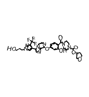 O=C(O[C@@H]1CCOC1)N1CCN(C(=O)c2ccc(Oc3nccn4c(-c5cn(CCCO)nc5C(F)(F)F)cnc34)cc2O)CC1